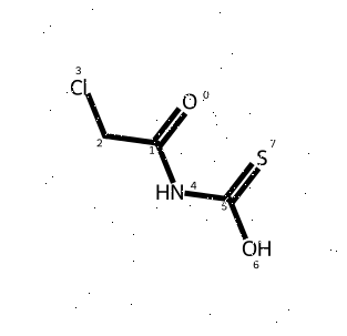 O=C(CCl)NC(O)=S